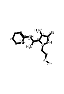 CCOCCN1NC(CC)C(N)C1C(N)NC1=CCCCN1